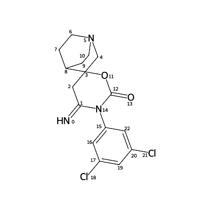 N=C1CC2(CN3CCC2CC3)OC(=O)N1c1cc(Cl)cc(Cl)c1